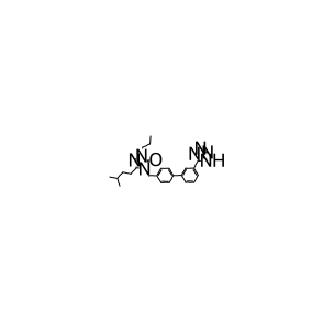 CCCn1nc(CCC(C)C)n(Cc2ccc(-c3cccc(-c4nnn[nH]4)c3)cc2)c1=O